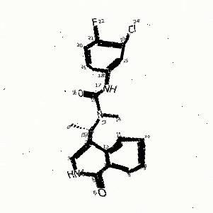 C[C@@H](c1c[nH]c(=O)c2ccccc12)N(C)C(=O)Nc1ccc(F)c(Cl)c1